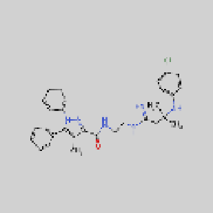 Cc1c(C(=O)NCCNC(=N)CC(C)(C)Nc2ccc(Cl)cc2)nn(-c2ccccc2)c1-c1ccccc1